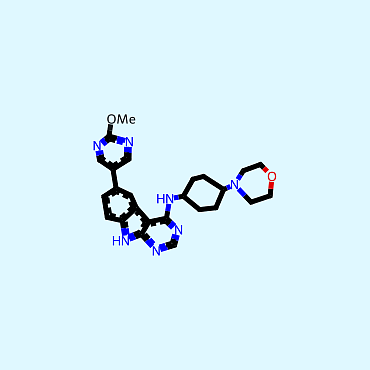 COc1ncc(-c2ccc3[nH]c4ncnc(NC5CCC(N6CCOCC6)CC5)c4c3c2)cn1